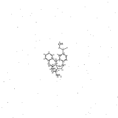 CC(CO)c1ccc2c(n1)N(c1ccccn1)[C@]1(C(N)=O)CN2CC1C(N)=O